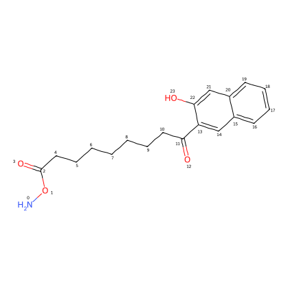 NOC(=O)CCCCCCCC(=O)c1cc2ccccc2cc1O